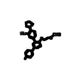 Cc1ccc(-c2ccc(OCCOC=O)c(-c3ccc(N4CCCC4)c(C(C)(C)C)c3)c2)cc1